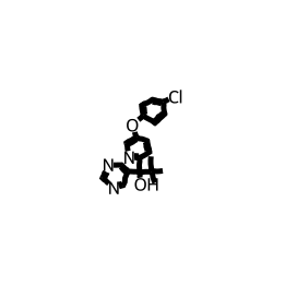 CC(C)(C)C(O)(c1cncnc1)c1ccc(Oc2ccc(Cl)cc2)cn1